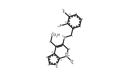 O=C(O)CC1=C(SCc2cccc(F)c2F)C[NH+]([O-])c2sccc21